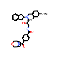 COC1=CC(OC)CC=C1CN(CC(O)CNC(=O)c1ccc(C(=O)N2C3CCC2COC3)cc1)C1Cc2ccccc2C1